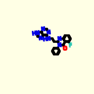 O=c1c2c(F)cccc2nc(CCNc2ncnc3[nH]cnc23)n1-c1ccccc1